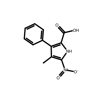 Cc1c([N+](=O)[O-])[nH]c(C(=O)O)c1-c1ccccc1